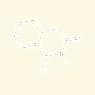 CN1C(=O)Cc2ccccc2C1=O